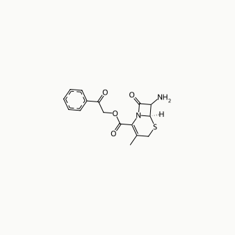 CC1=C(C(=O)OCC(=O)c2ccccc2)N2C(=O)C(N)[C@H]2SC1